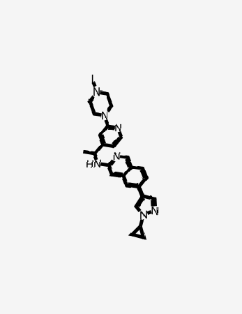 CC(Nc1cc2cc(-c3cnn(C4CC4)c3)ccc2cn1)c1ccnc(N2CCN(I)CC2)c1